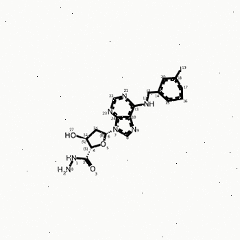 NNC(=O)[C@H]1O[C@@H](n2cnc3c(NCc4cccc(I)c4)ncnc32)C[C@@H]1O